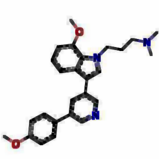 COc1ccc(-c2cncc(-c3cn(CCCN(C)C)c4c(OC)cccc34)c2)cc1